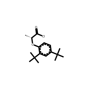 C[C@@H](Oc1ccc(C(C)(C)C)cc1C(C)(C)C)C(=O)Cl